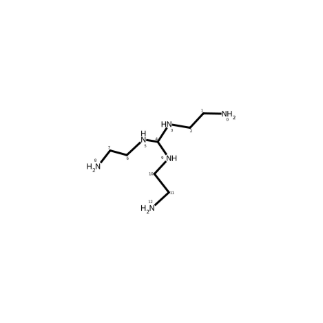 NCCNC(NCCN)NCCN